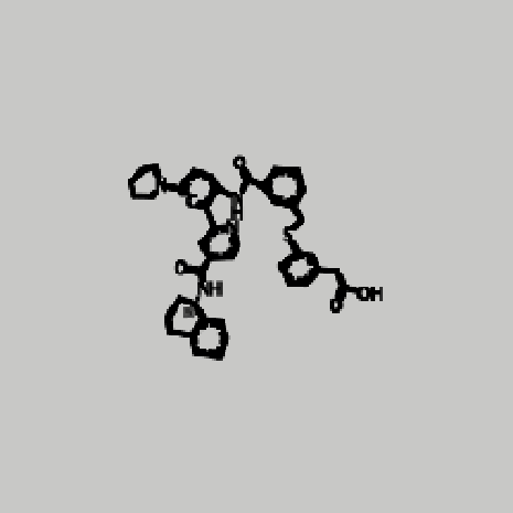 O=C(O)Cc1cccc(SCc2cccc(C(=O)Nc3ccc(N4CCCCC4)cc3-c3cc(C(=O)N[C@H]4CCCc5ccccc54)ccn3)c2)c1